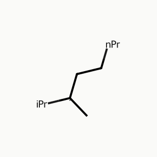 CCCCC[C](C)C(C)C